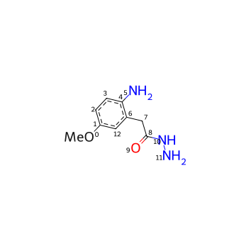 COc1ccc(N)c(CC(=O)NN)c1